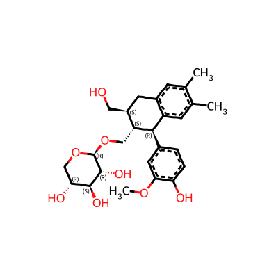 COc1cc([C@@H]2c3cc(C)c(C)cc3C[C@H](CO)[C@H]2CO[C@@H]2OC[C@@H](O)[C@H](O)[C@H]2O)ccc1O